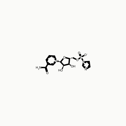 NC(=O)c1ccc[n+]([C@H]2O[C@H](COP(=O)([O-])n3ccnc3)[C@@H](O)[C@H]2O)c1